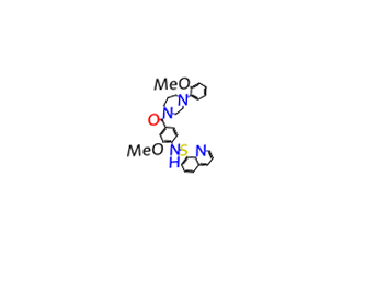 COc1cc(C(=O)N2CCCN(c3ccccc3OC)CC2)ccc1NSc1cccc2cccnc12